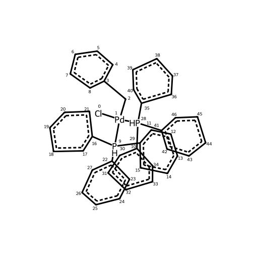 [Cl][Pd]([CH2]c1ccccc1)([PH](c1ccccc1)(c1ccccc1)c1ccccc1)[PH](c1ccccc1)(c1ccccc1)c1ccccc1